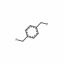 FCc1[c]cc(CF)cc1